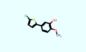 COc1[c]cc(-c2ccc(Cl)s2)cc1O